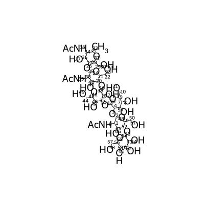 CC(=O)NC1[C@H](OC2C(O)[C@H](O)C(CO)O[C@@H]2O[C@@H]2C(O)[C@H](O[C@@H]3C(CO)O[C@@H](O[C@@H]4C(CO)O[C@@H](C)C(NC(C)=O)[C@H]4O)C(NC(C)=O)[C@H]3O)OC(CO)[C@H]2O)OC(CO)[C@@H](O[C@@H]2OC(CO)[C@H](O)[C@H](O)C2O)[C@@H]1O